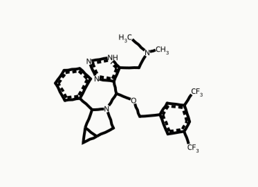 CN(C)Cc1[nH]nnc1C(OCc1cc(C(F)(F)F)cc(C(F)(F)F)c1)N1CC2CC2C1c1ccccc1